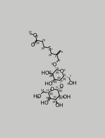 C=C(CO[C@@H]1O[C@H](CO)[C@H](O[C@H]2O[C@H](CO)[C@H](O)[C@H](O)[C@H]2O)[C@H](O)[C@H]1O)CSCCC(=O)OC